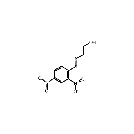 O=[N+]([O-])c1ccc(SSCCO)c([N+](=O)[O-])c1